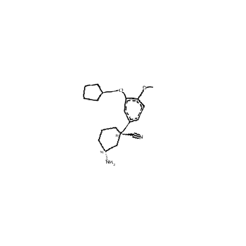 COc1ccc([C@@]2(C#N)CCC[C@@H](N)C2)cc1OC1CCCC1